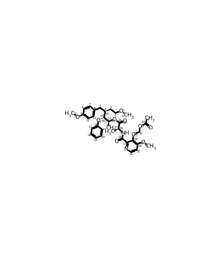 COCC[C@H](Cc1ccc(OC)cc1)[C@@H](Oc1ccccc1)[C@H](C)OC(=O)[C@H](C)NC(=O)c1nccc(OC)c1OCOC(C)=O